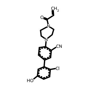 C=CC(=O)N1CCN(c2ccc(-c3cc(O)ccc3Cl)cc2C#N)CC1